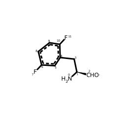 N[C@H]([C]=O)Cc1cc(F)ccc1F